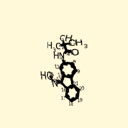 CC(C)(C)C(=O)Nc1ccc2c(c1)/C(=N\O)c1ccccc1-2